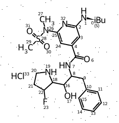 CC[C@H](C)Nc1cc(C(=O)NC(Cc2ccccc2)C(O)C2NCCC2F)cc(N(C)S(C)(=O)=O)n1.Cl